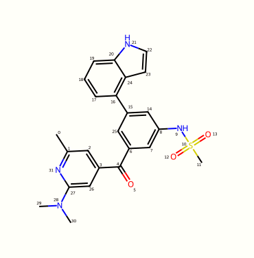 Cc1cc(C(=O)c2cc(NS(C)(=O)=O)cc(-c3cccc4[nH]ccc34)c2)cc(N(C)C)n1